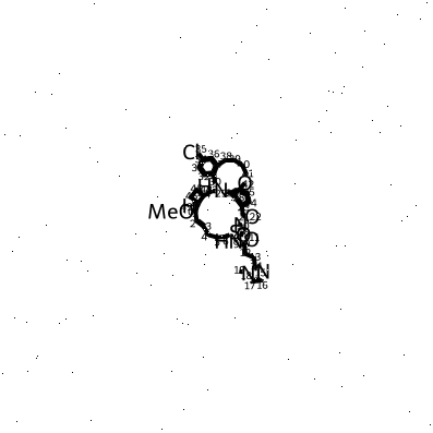 CO[C@H]1/C=C/CCCS(=O)(NC(=O)CCc2nccn2C)=NC(=O)c2ccc3c(c2)N(Cc2ccc(Cl)cc2CCCCO3)C[C@@H]2CC[C@H]21